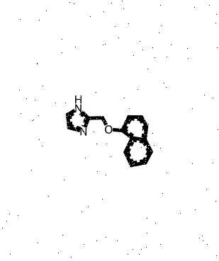 c1ccc2c(OCc3ncc[nH]3)cccc2c1